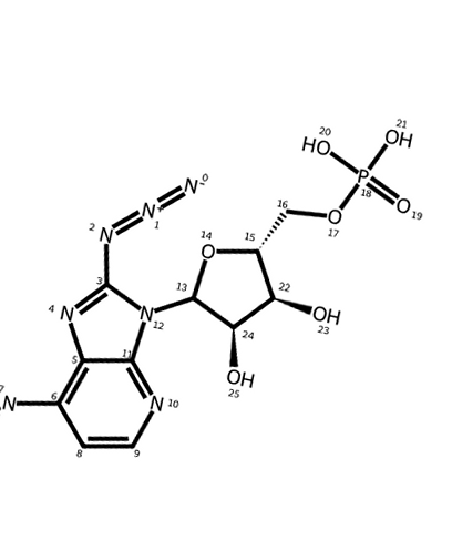 [N-]=[N+]=Nc1nc2c(N)ccnc2n1C1O[C@H](COP(=O)(O)O)[C@@H](O)[C@H]1O